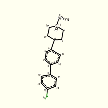 CCCCC[SiH]1CCC(c2ccc(-c3ccc(F)cc3)cc2)CC1